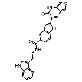 O=C(NCCc1c[nH]c2ccccc12)c1ccc2[nH]c(-c3nc4cscc4[nH]c3=O)cc2c1